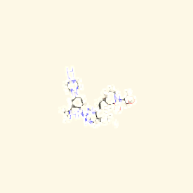 O=C1c2sc(-c3nc(Nc4ccc(N5CCNCC5)cc4C4CC4)ncc3C(F)(F)F)cc2SCCN1C1COC1